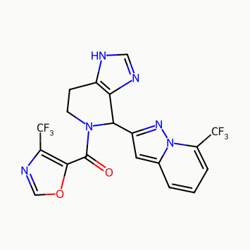 O=C(c1ocnc1C(F)(F)F)N1CCc2[nH]cnc2C1c1cc2cccc(C(F)(F)F)n2n1